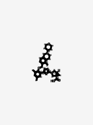 Cc1cc(C)c(OCc2ccc3c(c2C)CCN(C2CCOCC2)C3)c(-c2csc(N3C[C@@H]4C[C@]4(C(=O)O)C3)n2)c1